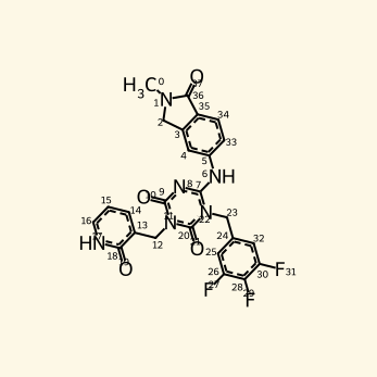 CN1Cc2cc(Nc3nc(=O)n(Cc4ccc[nH]c4=O)c(=O)n3Cc3cc(F)c(F)c(F)c3)ccc2C1=O